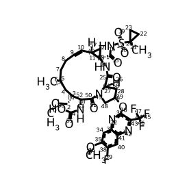 COC[C@@H]1C[C@@H](C)CCC=C[C@@H]2C[C@@]2(C(=O)NS(=O)(=O)C2(C)CC2)NC(=O)[C@@H]2C[C@@H](Oc3nc4cc(OC)c(F)cc4nc3C(F)(F)F)CN2C(=O)[C@H]1NC(=O)O